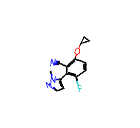 Cn1nccc1-c1c(F)ccc(OC2CC2)c1C#N